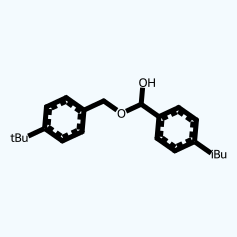 CCC(C)c1ccc(C(O)OCc2ccc(C(C)(C)C)cc2)cc1